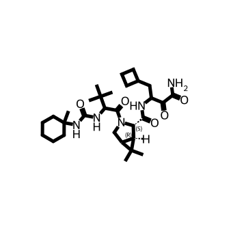 CC1(NC(=O)NC(C(=O)N2CC3[C@@H]([C@H]2C(=O)NC(CC2CCC2)C(=O)C(N)=O)C3(C)C)C(C)(C)C)CCCCC1